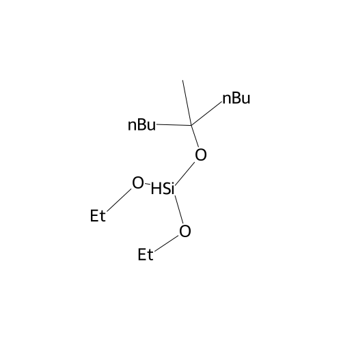 CCCCC(C)(CCCC)O[SiH](OCC)OCC